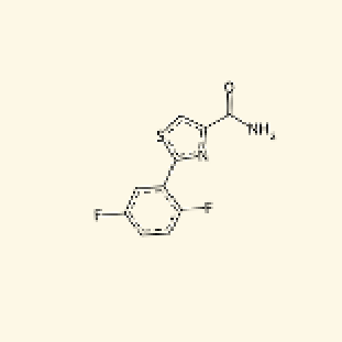 NC(=O)c1csc(-c2cc(F)ccc2F)n1